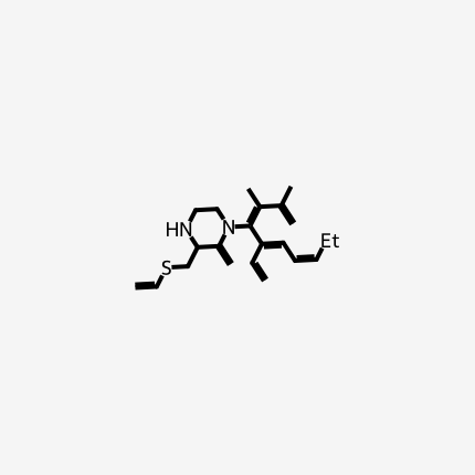 C=CSCC1NCCN(C(/C(C=C)=C/C=C\CC)=C(\C)C(=C)C)C1=C